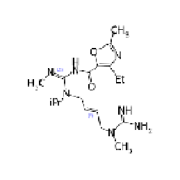 CCc1nc(C)oc1C(=O)N/C(=N/C)N(C/C=C/CN(C)C(=N)N)C(C)C